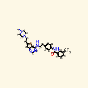 CN1CCN(CCc2cc3ncnc(NCCc4ccc(NC(=O)c5cccc(C(F)(F)F)c5)cc4)c3s2)CC1